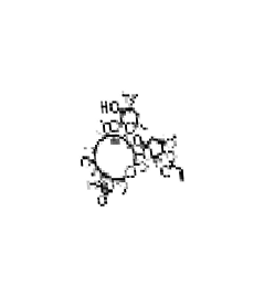 C=CC(=O)OC1[C@H](C)O[C@@H](O[C@H]2[C@H](C)[C@@H](O[C@@H]3O[C@H](C)C[C@H](N(C)C)[C@H]3O)[C@](C)(OC)C[C@@H](C)C(=O)[C@H](C)[C@@H](NC=O)[C@](C)(O)[C@@H](CC)OC(=O)[C@@H]2C)C[C@@]1(C)OC